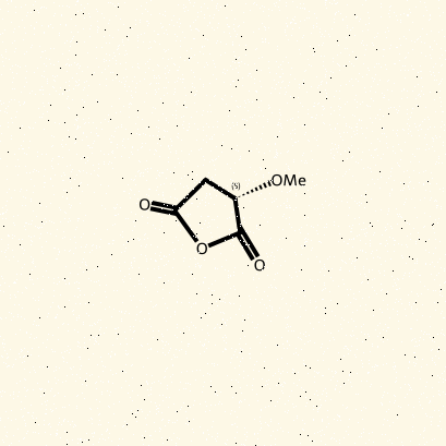 CO[C@H]1CC(=O)OC1=O